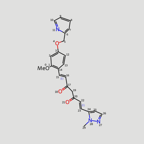 COc1cc(OCc2ccccn2)ccc1/C=C/C(=O)CC(=O)/C=C/c1ccnn1C